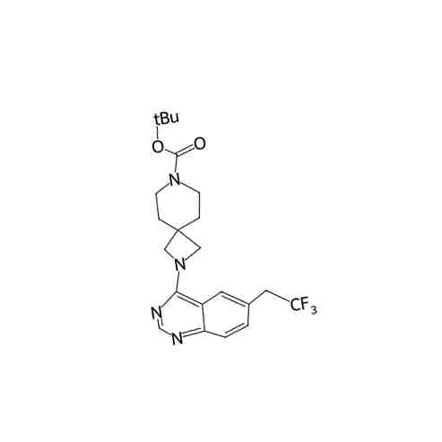 CC(C)(C)OC(=O)N1CCC2(CC1)CN(c1ncnc3ccc(CC(F)(F)F)cc13)C2